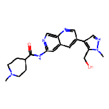 CN1CCC(C(=O)Nc2cc3cc(-c4cnn(C)c4CO)cnc3cn2)CC1